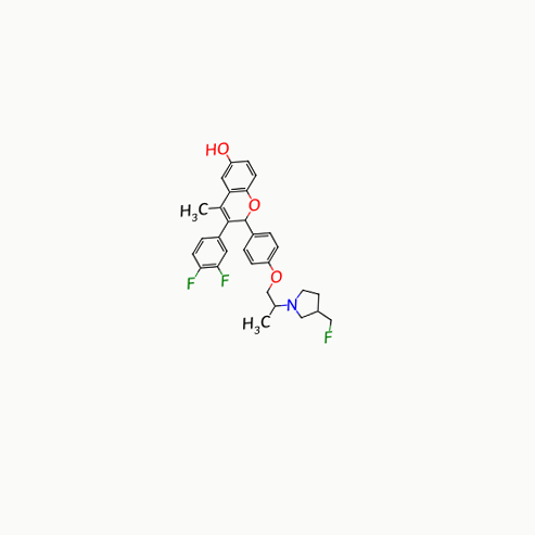 CC1=C(c2ccc(F)c(F)c2)C(c2ccc(OCC(C)N3CCC(CF)C3)cc2)Oc2ccc(O)cc21